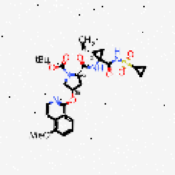 C=C[C@@H]1C[C@]1(NC(=O)[C@@H]1C[C@@H](Oc2nccc3c(OC)cccc23)CN1C(=O)OC(C)(C)C)C(=O)NS(=O)(=O)C1CC1